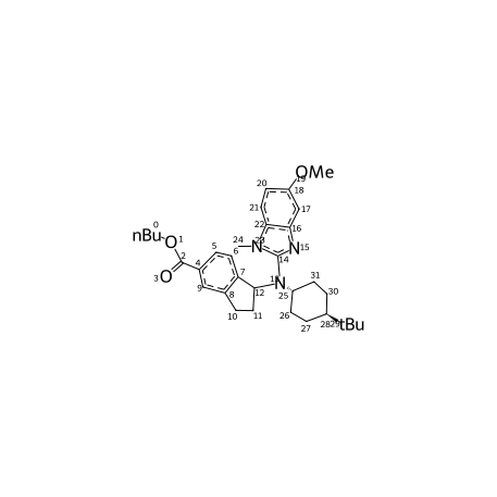 CCCCOC(=O)c1ccc2c(c1)CCC2N(c1nc2cc(OC)ccc2n1C)[C@H]1CC[C@H](C(C)(C)C)CC1